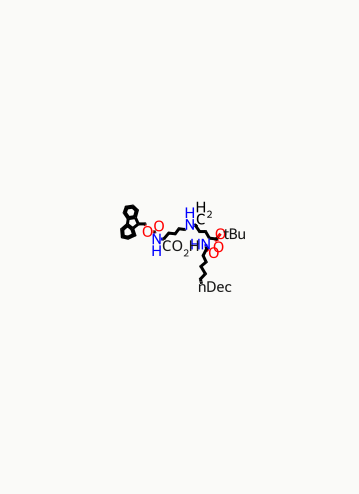 C=C(CCC(NC(=O)CCCCCCCCCCCCCCC)C(=O)OC(C)(C)C)NCCCCC(NC(=O)OCC1c2ccccc2-c2ccccc21)C(=O)O